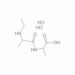 CCNC(C)C(=O)NC(C)C(=O)O.Cl.Cl